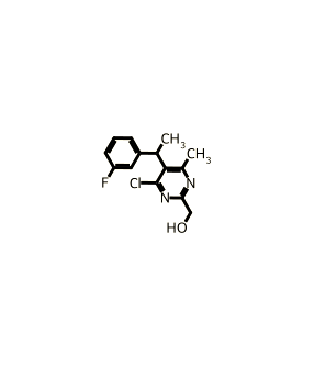 Cc1nc(CO)nc(Cl)c1C(C)c1cccc(F)c1